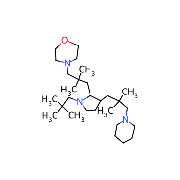 CC(C)(C)CN1CCC(CC(C)(C)CN2CCCCC2)C1CC(C)(C)CN1CCOCC1